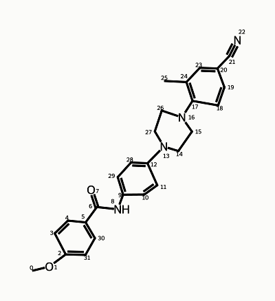 COc1ccc(C(=O)Nc2ccc(N3CCN(c4ccc(C#N)cc4C)CC3)cc2)cc1